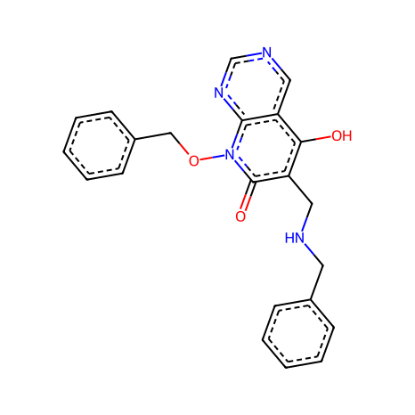 O=c1c(CNCc2ccccc2)c(O)c2cncnc2n1OCc1ccccc1